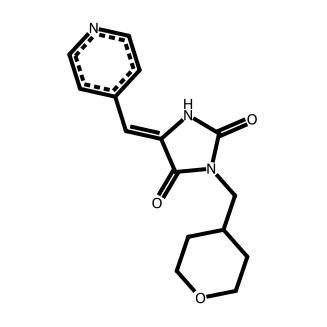 O=C1N/C(=C\c2ccncc2)C(=O)N1CC1CCOCC1